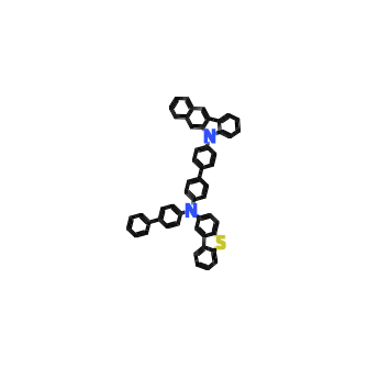 c1ccc(-c2ccc(N(c3ccc(-c4ccc(-n5c6ccccc6c6cc7ccccc7cc65)cc4)cc3)c3ccc4sc5ccccc5c4c3)cc2)cc1